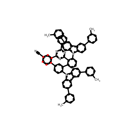 Cc1cccc(-c2ccc3c(c2)c2cc(-c4cccc(C)c4)ccc2n3-c2ccc(-c3ccc(C#N)cc3)cc2-c2cccc(-n3c4ccc(-c5cccc(C)c5)cc4c4cc(-c5cccc(C)c5)ccc43)c2-c2nc(-c3ccccc3)nc(-c3ccccc3)n2)c1